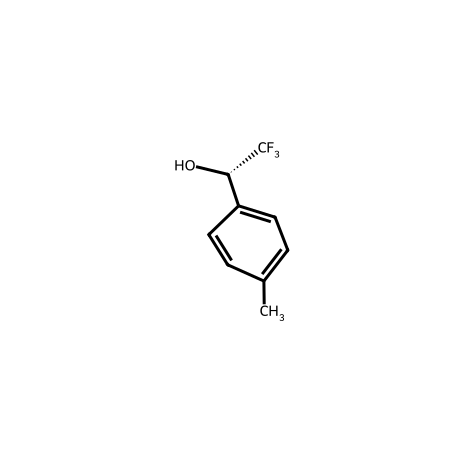 Cc1ccc([C@H](O)C(F)(F)F)cc1